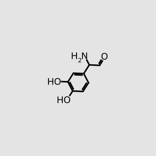 NC(C=O)c1ccc(O)c(O)c1